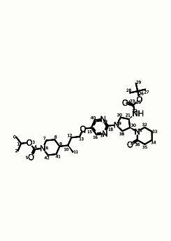 CC(C)OC(=O)N1CCC([C@H](C)CCOc2cnc(N3C[C@H](NC(=O)OC(C)(C)C)[C@@H](N4CCCCC4=O)C3)nc2)CC1